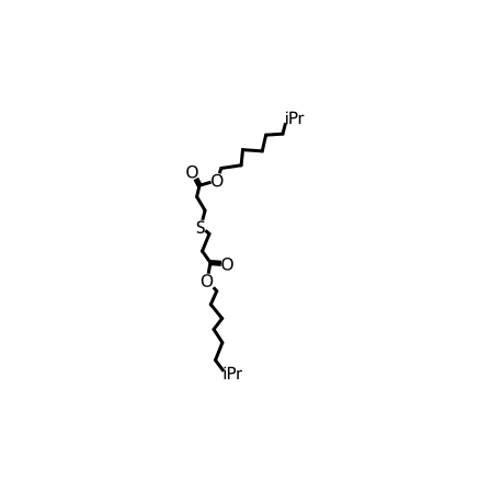 CC(C)CCCCCCOC(=O)CCSCCC(=O)OCCCCCCC(C)C